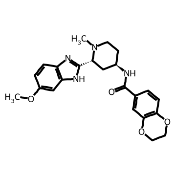 COc1ccc2nc([C@H]3C[C@H](NC(=O)c4ccc5c(c4)OCCO5)CCN3C)[nH]c2c1